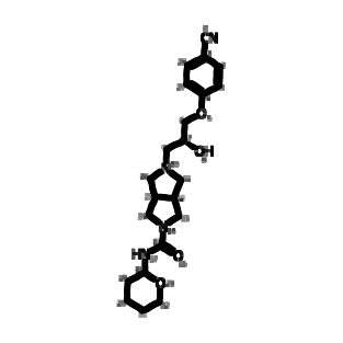 N#Cc1ccc(OC[C@@H](O)CN2CC3CN(C(=O)NC4CCCCO4)CC3C2)cc1